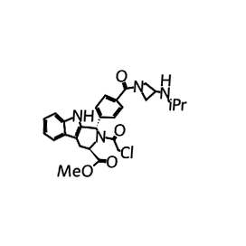 COC(=O)[C@H]1Cc2c([nH]c3ccccc23)[C@H](c2ccc(C(=O)N3CC(NC(C)C)C3)cc2)N1C(=O)CCl